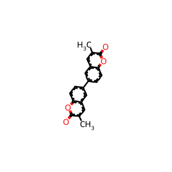 Cc1cc2cc(-c3ccc4oc(=O)c(C)cc4c3)ccc2oc1=O